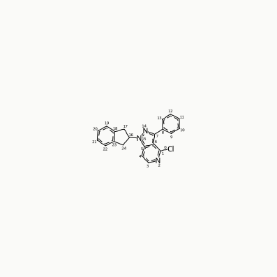 Clc1nccc2c1c(-c1ccccc1)nn2C1Cc2ccccc2C1